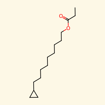 CCC(=O)OCCCCCCCCCC1CC1